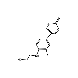 C=C1C=CC(c2ccc(NCCO)c(C)c2)=NN1